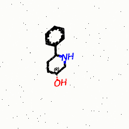 O[C@@H]1CCC(c2ccccc2)NC1